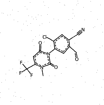 Cn1c(C(F)(F)F)cc(=O)n(-c2cc(C=O)c(C#N)cc2Cl)c1=O